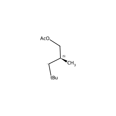 CC(=O)OC[C@@H](C)[CH]C(C)(C)C